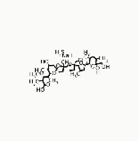 CC[C@@]1([C@@H]2O[C@@H]([C@H]3O[C@@](O)(CO)[C@H](C)C[C@@H]3C)C[C@@H]2C)CC[C@H]([C@]2(C)CC[C@]3(C[C@H](O)[C@@H](C)[C@@H]([C@@H](C)[C@@H](OC)C(C)C(=O)O)O3)O2)O1.S.[NaH]